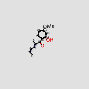 C/C=C\C=C(/C)C(=O)c1ccc(OC)cc1O